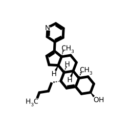 CCCC[C@H]1C=C2C[C@H](O)CC[C@]2(C)[C@H]2CC[C@]3(C)C(c4cccnc4)=CC[C@H]3[C@H]12